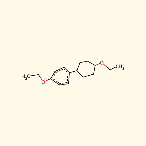 CCOc1ccc(C2CCC(OCC)CC2)cc1